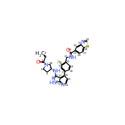 C=CC(=O)N1CC[C@@H](Nc2n[nH]c3nccc(-c4ccc(CNC(=O)c5ccc6scnc6c5)c(F)c4)c23)C1